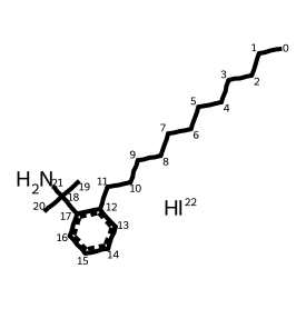 CCCCCCCCCCCCc1ccccc1C(C)(C)N.I